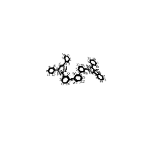 c1ccc(-c2cc(-c3ccccc3)nc(-c3cccc(-c4cccc(-c5cccc(-c6nc(-c7ccccc7)c7sc8ccccc8c7n6)c5)c4)c3)n2)cc1